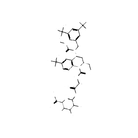 CC[C@@H]1C[C@H](N(Cc2cc(C(F)(F)F)cc(C(F)(F)F)c2)C(=O)OC)c2cc(C(F)(F)F)ccc2N1C(=O)OCC(=O)OC1OC(C(=O)O)C(O)C(O)C1O